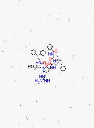 N=C(N)NCCC[C@H](NC(=O)[C@@H]1C[C@@H](Cc2ccccc2)[C@@H]2CCC(NC(=O)c3ccccc3)C(=O)N12)C(=O)N[C@@H](CC(=O)O)C(=O)NCCC(c1ccccc1)c1ccccc1